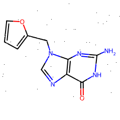 Nc1nc2c(ncn2Cc2ccco2)c(=O)[nH]1